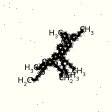 C=C/C=C\CCCOc1cc2c(cc1CC)oc1cc(-c3ccc4c(c3)C(CCCCCCCC)(CCCCCCCC)c3cc(Cc5ccc6c(c5)Oc5cc(C)ccc5N6c5ccc(CCCC)cc5)c5ccccc5c3-4)c(OCCC/C=C\C=C)cc12